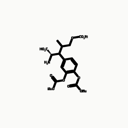 CCOC(=O)OCC(C)C(c1ccc(OC(=O)OCC(C)C)c(OC(=O)OCC(C)C)c1)[C@H](N)C(=O)O